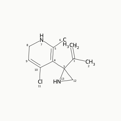 C=C(C)C1(C2=C(C)NCC=C2Cl)CN1